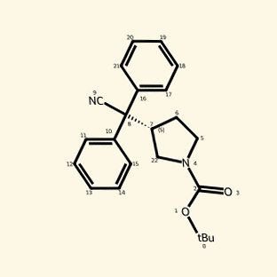 CC(C)(C)OC(=O)N1CC[C@@H](C(C#N)(c2ccccc2)c2ccccc2)C1